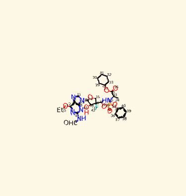 CCOc1nc(NC=O)nc2c1ncn2[C@@H]1OCC(F)(COP(=O)(NC(C)C(=O)OC2CCCCC2)Oc2ccccc2)[C@@]1(C)O